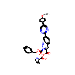 CCCCCCCOc1ccc(-c2cnc(-c3ccc(C[C@H](NC(=O)OCc4ccccc4)C(=O)OC(=O)C4CCCN4)cc3)nc2)cc1